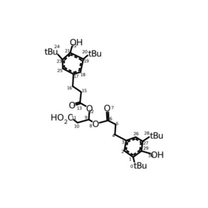 CC(C)(C)c1cc(CCC(=O)OC(CC(=O)O)OC(=O)CCc2cc(C(C)(C)C)c(O)c(C(C)(C)C)c2)cc(C(C)(C)C)c1O